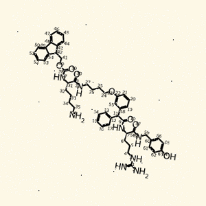 N=C(N)NCCC[C@@H](NC(=O)C(c1ccccc1)c1cccc(OCCCCNC(=O)[C@@H](CCCCN)NC(=O)OCC2c3ccccc3-c3ccccc32)c1)C(=O)NCc1ccc(O)cc1